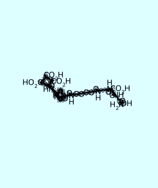 NP(=O)(O)OCCCCNC(=O)CC[C@H](NC(=O)CCCCCNC(=O)CCOCCOCCOCCOCCNC(=O)CCC(=O)N1Cc2ccccc2-c2c(nnn2CCCNC(=O)CN2CCN(CC(=O)O)CCN(CC(=O)O)CCN(CC(=O)O)CC2)-c2ccccc21)C(=O)O